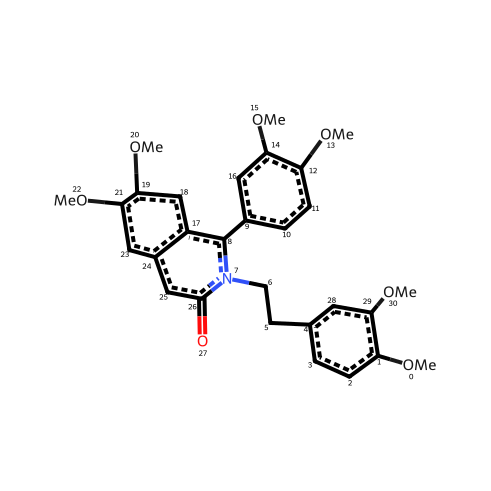 COc1ccc(CCn2c(-c3ccc(OC)c(OC)c3)c3cc(OC)c(OC)cc3cc2=O)cc1OC